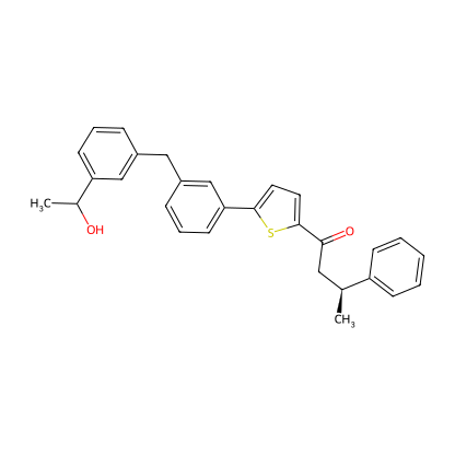 CC(O)c1cccc(Cc2cccc(-c3ccc(C(=O)C[C@H](C)c4ccccc4)s3)c2)c1